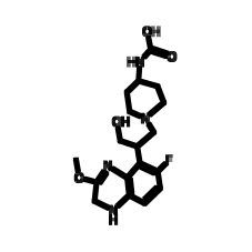 COC1=Nc2c(ccc(F)c2C(CO)CN2CCC(NC(=O)O)CC2)NC1